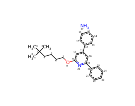 CC(C)(C)CCCCOc1cc(-c2ccccc2)cc(-c2ccccc2)n1.N